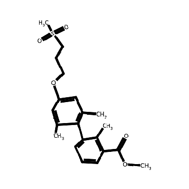 COC(=O)c1cccc(-c2c(C)cc(OCCCS(C)(=O)=O)cc2C)c1C